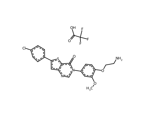 COc1cc(-n2cnc3cc(-c4ccc(Cl)cc4)sc3c2=O)ccc1OCCN.O=C(O)C(F)(F)F